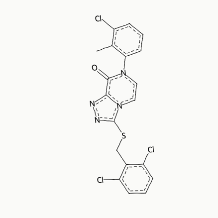 Cc1c(Cl)cccc1-n1ccn2c(SCc3c(Cl)cccc3Cl)nnc2c1=O